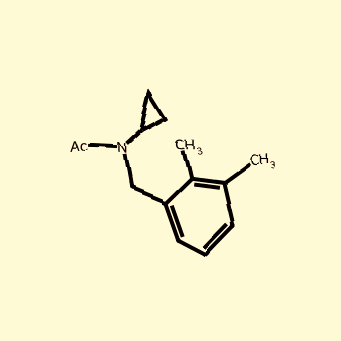 CC(=O)N(Cc1cccc(C)c1C)C1CC1